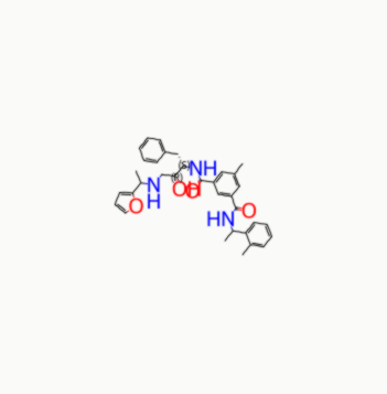 Cc1cc(C(=O)NC(C)c2ccccc2C)cc(C(=O)N[C@@H](Cc2ccccc2)[C@H](O)CNC(C)c2ccco2)c1